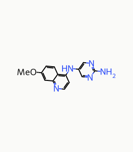 COc1ccc2c(Nc3cnc(N)nc3)ccnc2c1